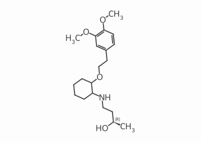 COc1ccc(CCOC2CCCCC2NCC[C@@H](C)O)cc1OC